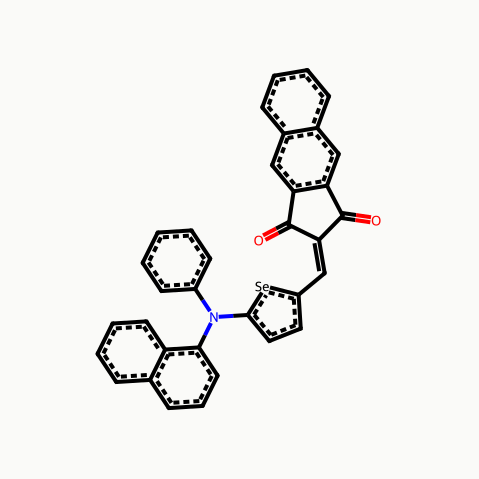 O=C1C(=Cc2ccc(N(c3ccccc3)c3cccc4ccccc34)[se]2)C(=O)c2cc3ccccc3cc21